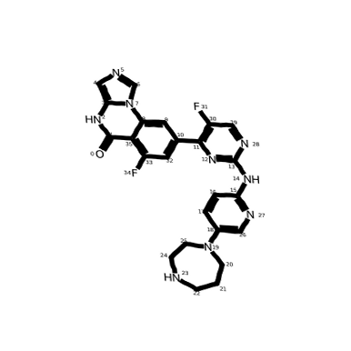 O=c1[nH]c2cncn2c2cc(-c3nc(Nc4ccc(N5CCCNCC5)cn4)ncc3F)cc(F)c12